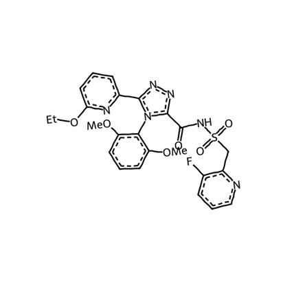 CCOc1cccc(-c2nnc(C(=O)NS(=O)(=O)Cc3ncccc3F)n2-c2c(OC)cccc2OC)n1